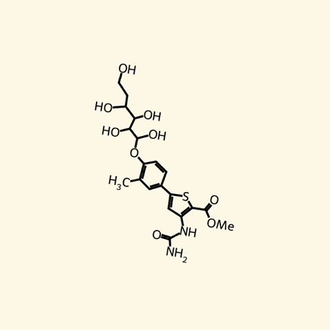 COC(=O)c1sc(-c2ccc(OC(O)C(O)C(O)C(O)CCO)c(C)c2)cc1NC(N)=O